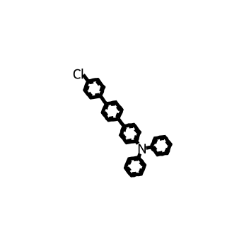 Clc1ccc(-c2ccc(-c3ccc(N(c4ccccc4)c4ccccc4)cc3)cc2)cc1